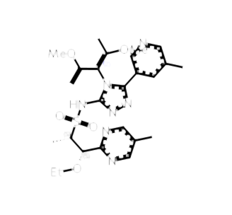 C=C(OC)/C(=C(\C)OC)n1c(NS(=O)(=O)[C@@H](C)[C@@H](OCC)c2ncc(C)cn2)nnc1-c1cncc(C)c1